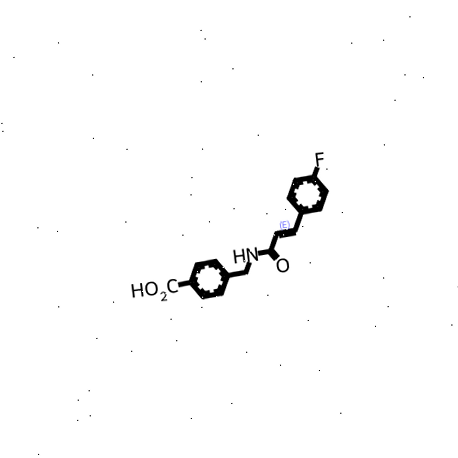 O=C(/C=C/c1ccc(F)cc1)NCc1ccc(C(=O)O)cc1